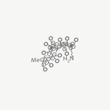 COC(COCc1ccccc1)C(OCc1ccccc1)C(F)OCC(OCc1ccccc1)C(OCc1ccccc1)C(COP(=O)(OCc1ccccc1)OC(C(F)OCC(OCc1ccccc1)C(OCc1ccccc1)C(COP(=O)(OCCCCCN)OCc1ccccc1)OCc1ccccc1)C(COCc1ccccc1)OC)OCc1ccccc1